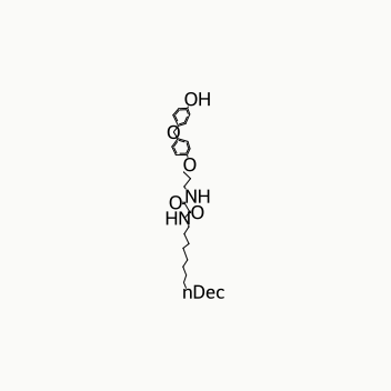 CCCCCCCCCCCCCCCCCCNC(=O)C(=O)NCCCOc1ccc(Oc2ccc(O)cc2)cc1